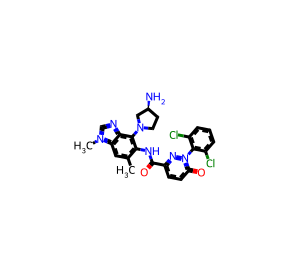 Cc1cc2c(ncn2C)c(N2CC[C@H](N)C2)c1NC(=O)c1ccc(=O)n(-c2c(Cl)cccc2Cl)n1